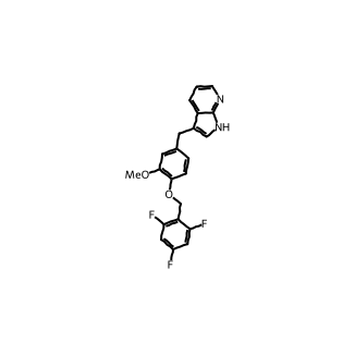 COc1cc(Cc2c[nH]c3ncccc23)ccc1OCc1c(F)cc(F)cc1F